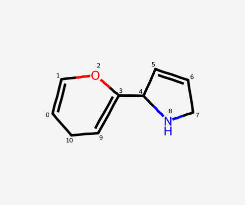 C1=COC(C2C=CCN2)=CC1